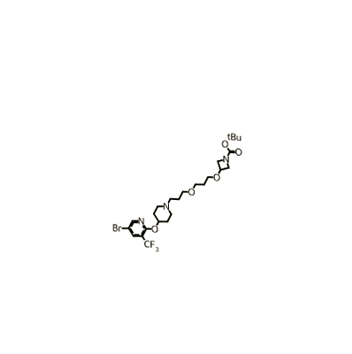 CC(C)(C)OC(=O)N1CC(OCCCOCCCN2CCC(Oc3ncc(Br)cc3C(F)(F)F)CC2)C1